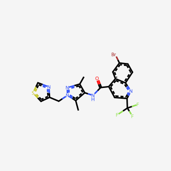 Cc1nn(Cc2cscn2)c(C)c1NC(=O)c1cc(C(F)(F)F)nc2ccc(Br)cc12